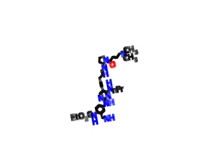 CCCNc1nc(Nc2ccc(NC(=O)OCC)c(C=N)c2)ncc1C#CCCCN[C@@H]1CCCN1C(=O)/C=C/CN(C)C